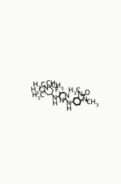 CN1C(C)(C)CC(Nc2nc(Nc3ccc4c(c3)n(C)c(=O)n4C)ncc2F)CC1(C)C